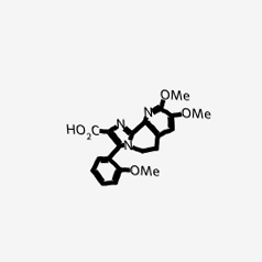 COc1ccccc1-c1c(C(=O)O)nc2n1CCc1cc(OC)c(OC)nc1-2